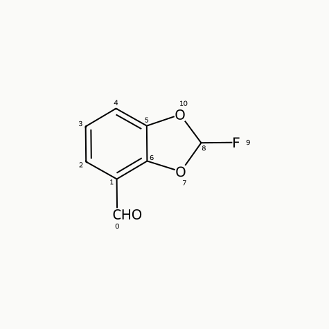 O=Cc1cccc2c1OC(F)O2